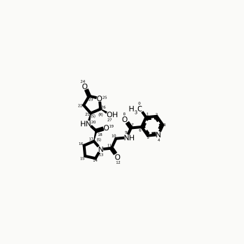 Cc1ccncc1C(=O)NCC(=O)N1CCC[C@H]1C(=O)N[C@H]1CC(=O)O[C@H]1O